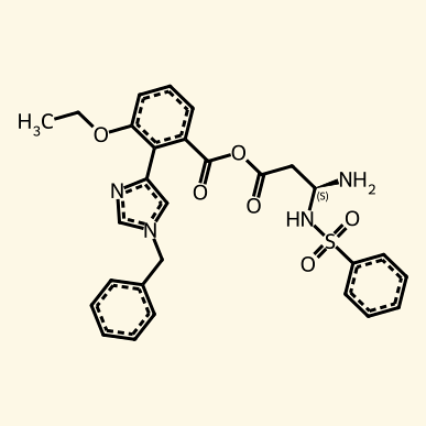 CCOc1cccc(C(=O)OC(=O)C[C@@H](N)NS(=O)(=O)c2ccccc2)c1-c1cn(Cc2ccccc2)cn1